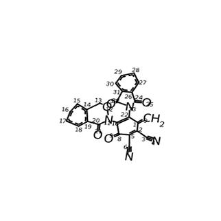 C=C1C(C#N)=C(C#N)C(=O)C(N2OCc3ccccc3C2=O)=C1N1C(=O)c2ccccc2C1=O